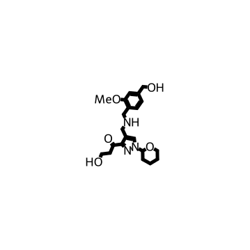 COc1cc(CO)ccc1CNCc1cn(C2CCCCO2)nc1C(=O)CCO